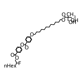 CCCCCCC(F)COC(=O)c1ccc(OC(=O)c2ccc(OCCCCCCCCCCCCOC(=O)C(C)(CO)CO)cc2)cc1